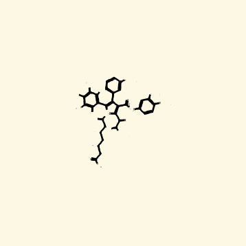 [2H]c1c([2H])c(-c2c(-c3cccc(C)c3)c(C(=O)Nc3ccc(C)c(C)c3)c(C(C)C(C)C)n2C(C)C[C@@H](O)C[C@@H](O)CC(=O)O)c(C)c([2H])c1F